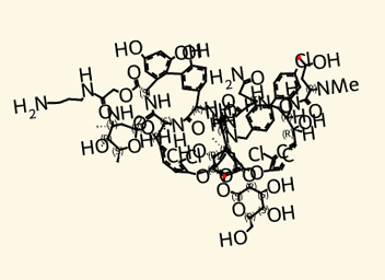 CN[C@H](CC(C)O)C(=O)N[C@H]1C(=O)N[C@@H](CC(N)=O)C(=O)N[C@H]2C(=O)N[C@H]3C(=O)N[C@H](C(=O)N[C@H](C(=O)OCC(=O)NCCCN)c4cc(O)cc(O)c4-c4cc3ccc4O)[C@H](O[C@H]3C[C@](C)(N)[C@@H](O)[C@H](C)O3)c3ccc(c(Cl)c3)Oc3cc2cc(c3O[C@@H]2O[C@H](CO)[C@@H](O)[C@H](O)[C@H]2O[C@H]2C[C@](C)(NCc3ccc(-c4ccc(Cl)cc4)cc3)[C@@H](O)[C@H](C)O2)Oc2ccc(cc2Cl)[C@H]1O